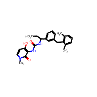 Cc1cccc(C)c1Cc1cccc(C(CC(=O)O)NC(=O)Nc2c(O)ccn(C)c2=O)c1